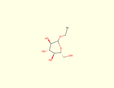 [2H]COC1O[C@H](CO)[C@@H](O)[C@H](O)[C@H]1O